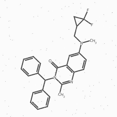 Cc1nc2ccc(N(C)CC3CC3(F)F)cc2c(=O)n1C(c1ccccc1)c1ccccc1